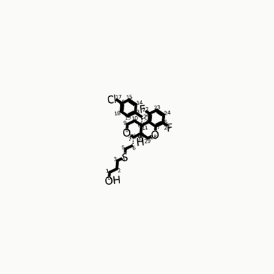 OCCCSCC[C@@H]1OCC[C@@]2(Cc3ccc(Cl)cc3)c3c(F)ccc(F)c3OC[C@@H]12